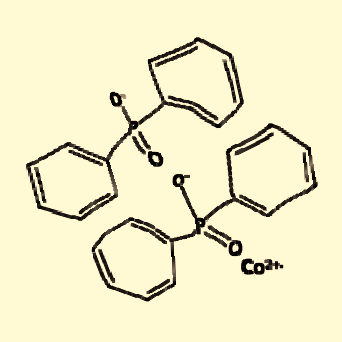 O=P([O-])(c1ccccc1)c1ccccc1.O=P([O-])(c1ccccc1)c1ccccc1.[Co+2]